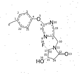 Cc1ccc(Oc2cnc(CN3C(=O)C[C@H](O)[C@@H]3F)cn2)cc1